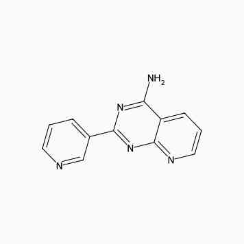 Nc1nc(-c2cccnc2)nc2ncccc12